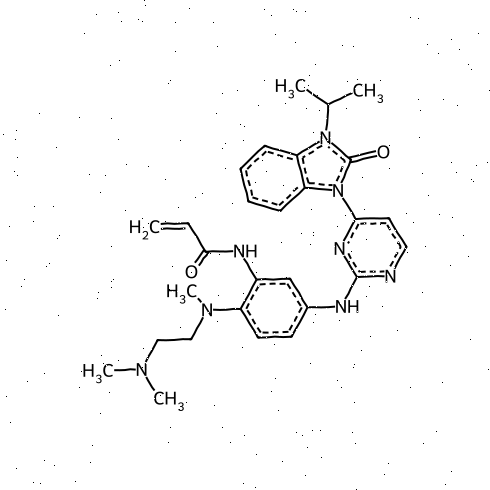 C=CC(=O)Nc1cc(Nc2nccc(-n3c(=O)n(C(C)C)c4ccccc43)n2)ccc1N(C)CCN(C)C